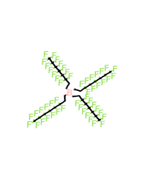 FC(F)(F)C(F)(F)C(F)(F)C(F)(F)C(F)(F)C(F)(F)CC[B-](CCC(F)(F)C(F)(F)C(F)(F)C(F)(F)C(F)(F)C(F)(F)F)(CCC(F)(F)C(F)(F)C(F)(F)C(F)(F)C(F)(F)C(F)(F)F)CCC(F)(F)C(F)(F)C(F)(F)C(F)(F)C(F)(F)C(F)(F)F